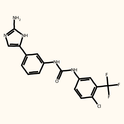 Nc1ncc(-c2cccc(NC(=O)Nc3ccc(Cl)c(C(F)(F)F)c3)c2)[nH]1